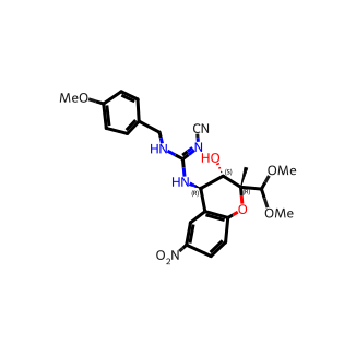 COc1ccc(CNC(=NC#N)N[C@@H]2c3cc([N+](=O)[O-])ccc3O[C@@](C)(C(OC)OC)[C@H]2O)cc1